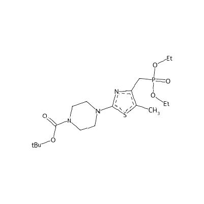 CCOP(=O)(Cc1nc(N2CCN(C(=O)OC(C)(C)C)CC2)sc1C)OCC